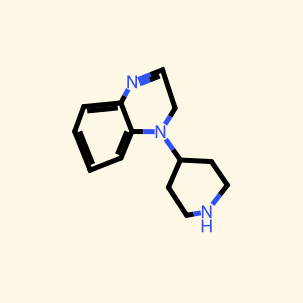 C1=Nc2ccccc2N(C2CCNCC2)C1